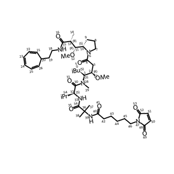 CC[C@H](C)[C@@H]([C@@H](CC(=O)N1CCC[C@H]1[C@H](OC)[C@@H](C)C(=O)NCCC1C=CC=CC=C1)OC)N(C)C(=O)[C@@H](NC(=O)C(C)(C)NC(=O)CCCCCN1C(=O)C=CC1=O)C(C)C